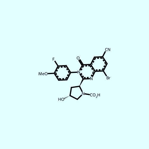 COc1ccc(-n2c([C@@H]3C[C@@H](O)CN3C(=O)O)nc3c(Br)cc(C#N)cc3c2=O)cc1F